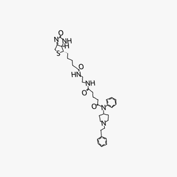 O=C(CCCC[C@@H]1SCC2=NC(=O)N[C@@H]21)NCCNC(=O)CCCC(=O)N(c1ccccc1)C1CCN(CCc2ccccc2)CC1